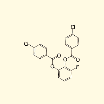 O=C(Oc1cccc(F)c1OC(=O)c1ccc(Cl)cc1)c1ccc(Cl)cc1